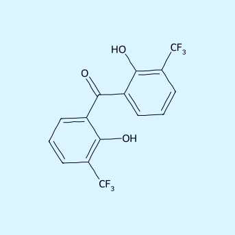 O=C(c1cccc(C(F)(F)F)c1O)c1cccc(C(F)(F)F)c1O